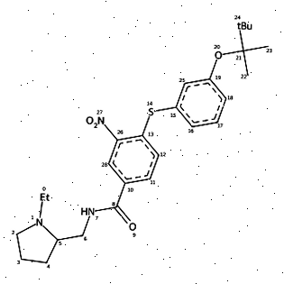 CCN1CCCC1CNC(=O)c1ccc(Sc2cccc(OC(C)(C)C(C)(C)C)c2)c([N+](=O)[O-])c1